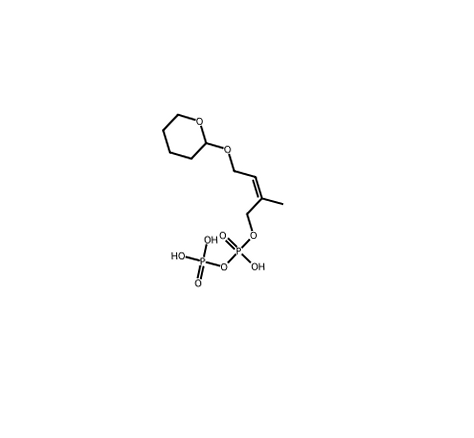 C/C(=C/COC1CCCCO1)COP(=O)(O)OP(=O)(O)O